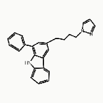 c1ccc(-c2cc(CCCCn3cccn3)cc3c2[nH]c2ccccc23)cc1